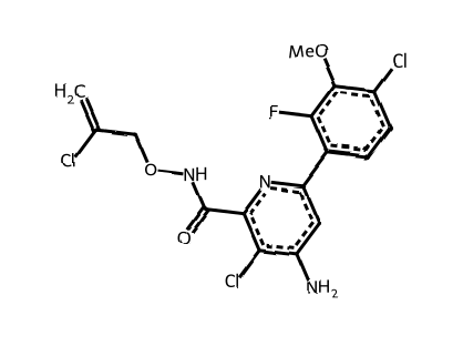 C=C(Cl)CONC(=O)c1nc(-c2ccc(Cl)c(OC)c2F)cc(N)c1Cl